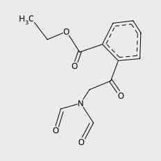 CCOC(=O)c1ccccc1C(=O)CN(C=O)C=O